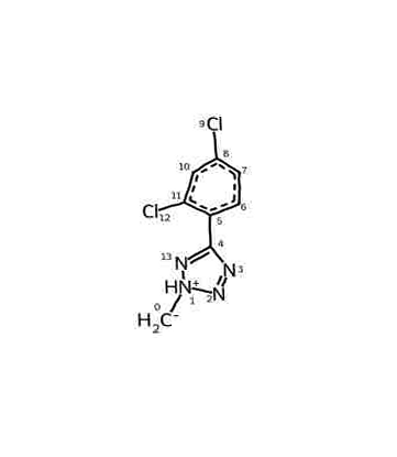 [CH2-][NH+]1N=NC(c2ccc(Cl)cc2Cl)=N1